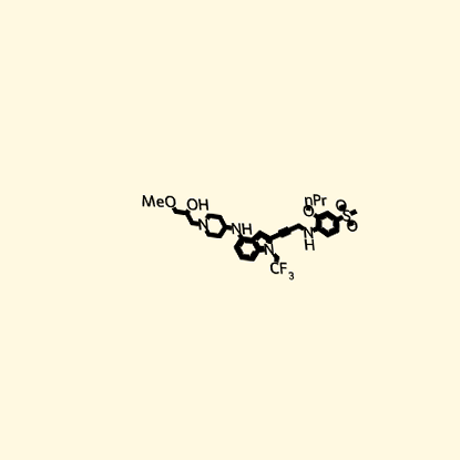 CCCOc1cc(S(C)(=O)=O)ccc1NCC#Cc1cc2c(NC3CCN(CC(O)COC)CC3)cccc2n1CC(F)(F)F